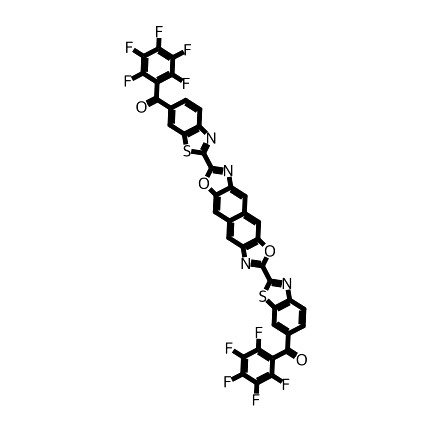 O=C(c1ccc2nc(-c3nc4cc5cc6oc(-c7nc8ccc(C(=O)c9c(F)c(F)c(F)c(F)c9F)cc8s7)nc6cc5cc4o3)sc2c1)c1c(F)c(F)c(F)c(F)c1F